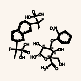 NC(=O)[C@]1(CO)O[C@H](O)[C@H](O)[C@@H](Oc2ccccc2[N+](=O)[O-])[C@H]1O.O=P(O)(O)C(F)(F)c1ccc2ccc(C(F)(F)P(=O)(O)O)cc2c1